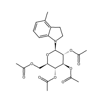 CC(=O)OC[C@H]1O[C@@H](N2CCc3c(C)cccc32)[C@H](OC(C)=O)[C@@H](OC(C)=O)[C@@H]1OC(C)=O